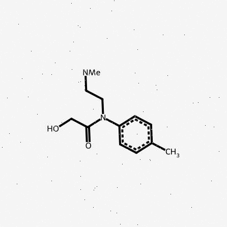 CNCCN(C(=O)CO)c1ccc(C)cc1